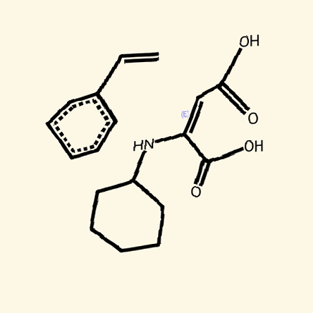 C=Cc1ccccc1.O=C(O)/C=C(/NC1CCCCC1)C(=O)O